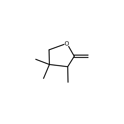 C=C1OCC(C)(C)C1C